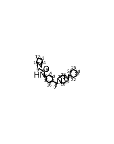 CC(c1ccc(NC(=O)CN2CCCC2)cc1)N1CCN(C2CCCCC2)CC1